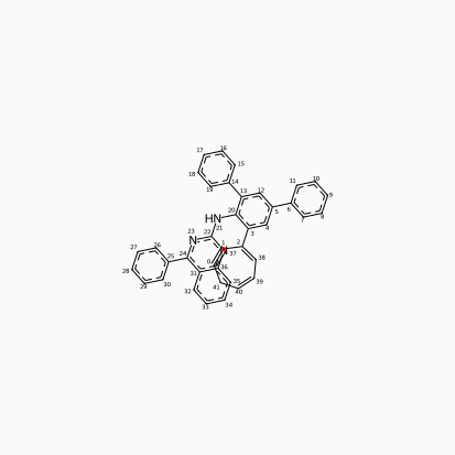 C1#CC(c2cc(-c3ccccc3)cc(-c3ccccc3)c2Nc2nc(-c3ccccc3)c3ccccc3n2)=CC=CC1